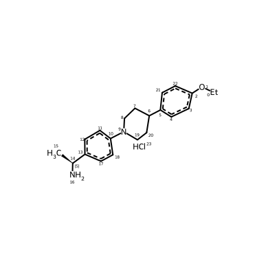 CCOc1ccc(C2CCN(c3ccc([C@H](C)N)cc3)CC2)cc1.Cl